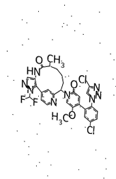 COc1cn(C2CCCC(C)C(=O)Nc3cnn(C(F)F)c3-c3ccnc2c3)c(=O)cc1-c1cc(Cl)ccc1-n1cc(Cl)nn1